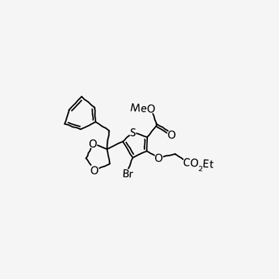 CCOC(=O)COc1c(C(=O)OC)sc(C2(Cc3ccccc3)COCO2)c1Br